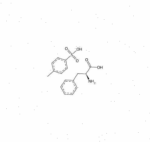 Cc1ccc(S(=O)(=O)O)cc1.N[C@@H](Cc1ccccc1)C(=O)O